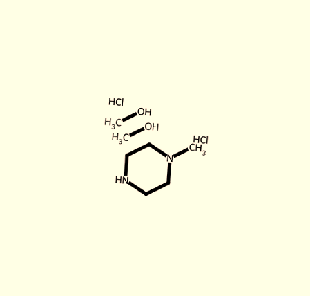 CN1CCNCC1.CO.CO.Cl.Cl